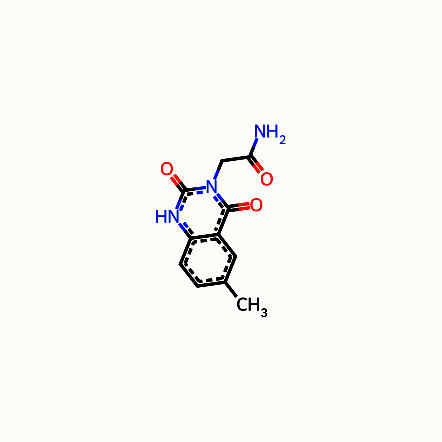 Cc1ccc2[nH]c(=O)n(CC(N)=O)c(=O)c2c1